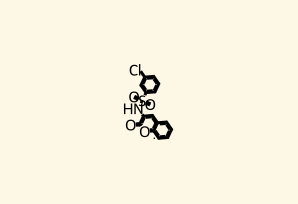 O=c1oc2[c]cccc2cc1NS(=O)(=O)c1cccc(Cl)c1